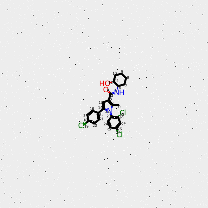 Cc1c(C(=O)N[C@@H]2CCCC[C@@H]2O)cc(-c2ccc(Cl)cc2)n1-c1ccc(Cl)cc1Cl